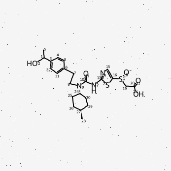 CC(O)c1ccc(CCN(C(=O)Nc2ncc([S+]([O-])CC(=O)O)s2)[C@H]2CC[C@H](C)CC2)cc1